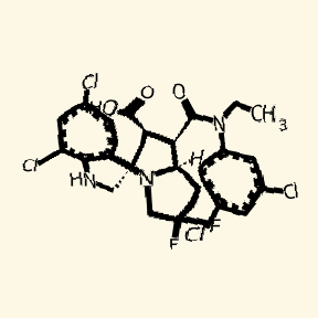 CCN(C(=O)[C@H]1[C@H]2CC(F)(F)CN2[C@]2(CNc3c(Cl)cc(Cl)cc32)[C@H]1C(=O)O)c1cc(Cl)cc(Cl)c1